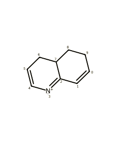 C1=CC2=[N+]C=CCC2CC1